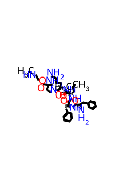 CNCCOC(=O)C1(N)CCN(C(=O)[C@@H](CCCCN)NC(=O)[C@@H](CC(C)C)NC(=O)[C@@H](Cc2ccccc2)NC(=O)[C@H](N)Cc2ccccc2)C1